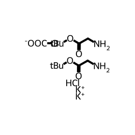 CC(C)(C)OC(=O)CN.CC(C)(C)OC(=O)CN.Cl.O=C([O-])[O-].[K+].[K+]